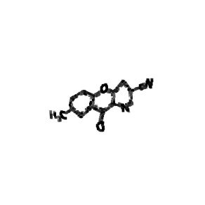 Cc1ccc2oc3cc(C#N)cnc3c(=O)c2c1